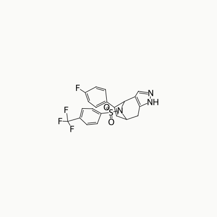 O=S(=O)(c1ccc(C(F)(F)F)cc1)N1C2C=C(c3ccc(F)cc3)C1c1cn[nH]c1C2